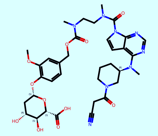 COc1cc(COC(=O)N(C)CCN(C)C(=O)n2ccc3c(N(C)[C@@H]4CCCN(C(=O)CC#N)C4)ncnc32)ccc1O[C@H]1C[C@@H](O)[C@H](O)[C@@H](C(=O)O)O1